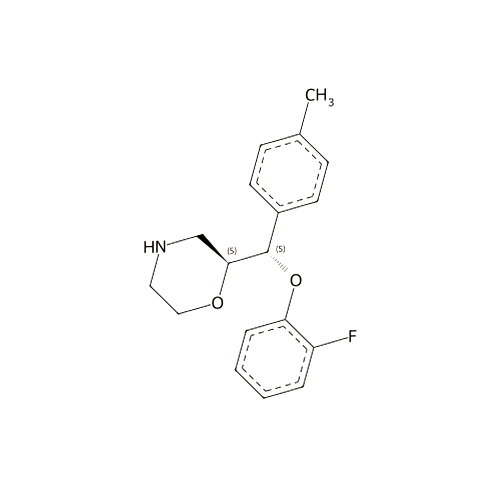 Cc1ccc([C@H](Oc2ccccc2F)[C@@H]2CNCCO2)cc1